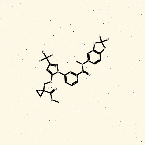 COC(=O)C1(COc2cc(C(F)(F)F)nn2-c2cccc(C(=O)N(C)c3ccc4c(c3)OC(F)(F)O4)c2)CC1